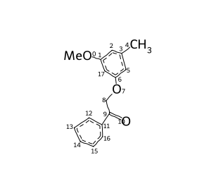 COc1cc(C)cc(OCC(=O)c2ccccc2)c1